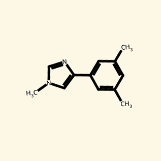 Cc1cc(C)cc(-c2cn(C)cn2)c1